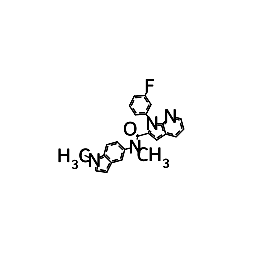 CN(C(=O)c1cc2cccnc2n1-c1cccc(F)c1)c1ccc2c(ccn2C)c1